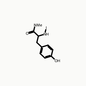 CNC(=O)C(Cc1ccc(O)cc1)NI